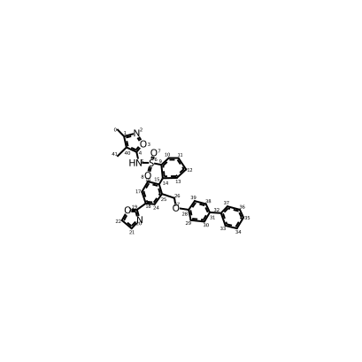 Cc1noc(NS(=O)(=O)c2ccccc2-c2ccc(-c3ncco3)cc2COc2ccc(-c3ccccc3)cc2)c1C